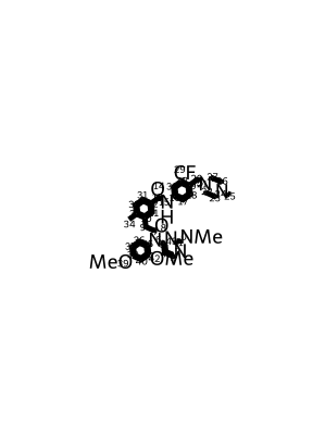 CNc1nccc(N(C(=O)Cc2cc(C(=O)Nc3ccc(CN4CCN(C)CC4)c(C(F)(F)F)c3)ccc2C)c2ccc(OC)cc2OC)n1